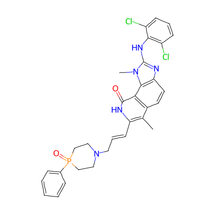 Cc1c(C=CCN2CCP(=O)(c3ccccc3)CC2)[nH]c(=O)c2c1ccc1nc(Nc3c(Cl)cccc3Cl)n(C)c12